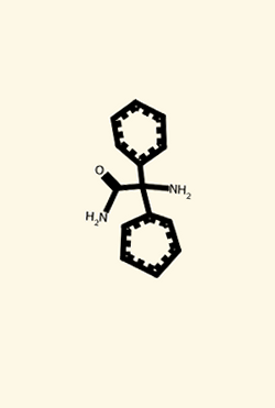 NC(=O)C(N)(c1cc[c]cc1)c1ccccc1